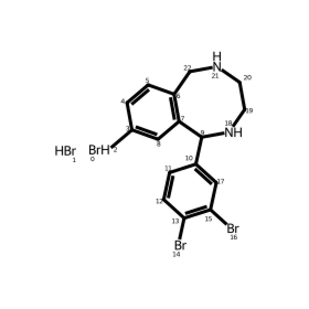 Br.Br.Cc1ccc2c(c1)C(c1ccc(Br)c(Br)c1)NCCNC2